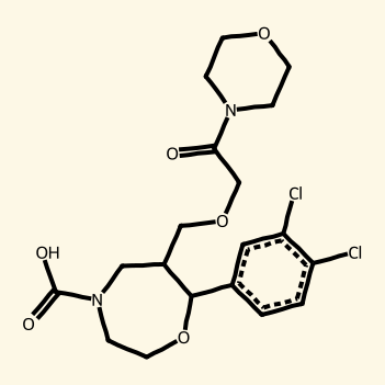 O=C(O)N1CCOC(c2ccc(Cl)c(Cl)c2)C(COCC(=O)N2CCOCC2)C1